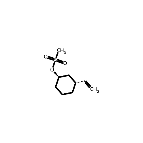 C=C[C@@H]1CCC[C@@H](OS(C)(=O)=O)C1